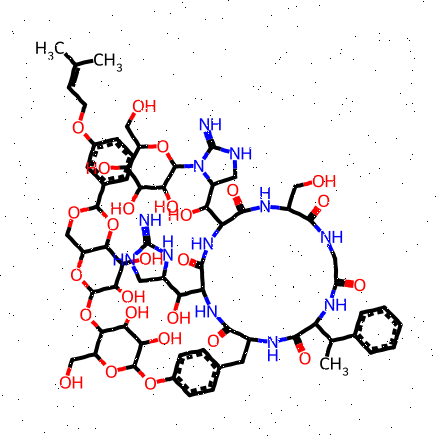 CC(C)=CCOc1cccc(C2OCC3OC(OC4C(CO)OC(Oc5ccc(CC6NC(=O)C(C(C)c7ccccc7)NC(=O)CNC(=O)C(CO)NC(=O)C(C(O)C7CNC(=N)N7C7OC(CO)C(O)C(O)C7O)NC(=O)C(C(O)C7CNC(=N)N7)NC6=O)cc5)C(O)C4O)C(O)C(O)C3O2)c1